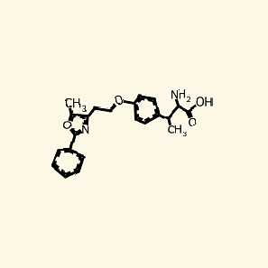 Cc1oc(-c2ccccc2)nc1CCOc1ccc(C(C)C(N)C(=O)O)cc1